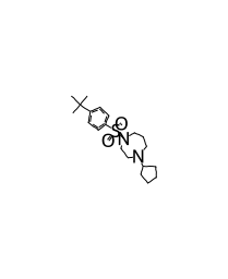 CC(C)(C)c1ccc(S(=O)(=O)N2CCCN(C3CCCC3)CC2)cc1